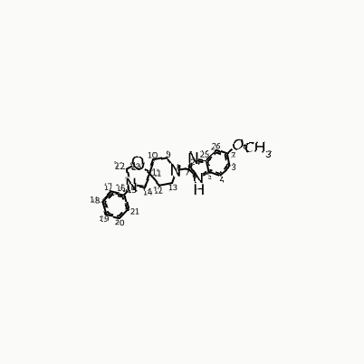 COc1ccc2[nH]c(N3CCC4(CC3)CN(c3ccccc3)CO4)nc2c1